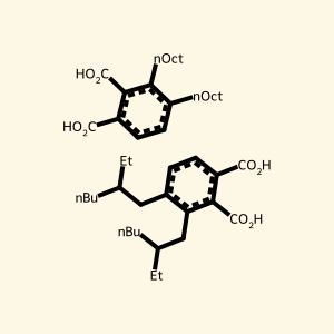 CCCCC(CC)Cc1ccc(C(=O)O)c(C(=O)O)c1CC(CC)CCCC.CCCCCCCCc1ccc(C(=O)O)c(C(=O)O)c1CCCCCCCC